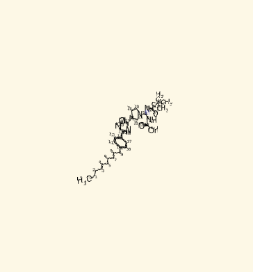 CCCCCCCCCCc1ccc(-c2noc([C@@H]3CCN(/C(=N/C(=O)OC(C)(C)C)NC(=O)O)C3)n2)cc1